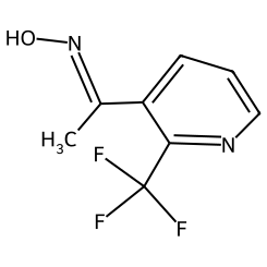 C/C(=N\O)c1cccnc1C(F)(F)F